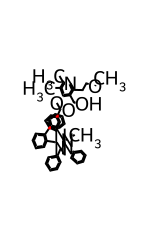 COCCc1nc(C)c(C)c(OCc2ccc(-c3ccccc3C3N(c4ccccc4)N(C)N(c4ccccc4)N3c3ccccc3)cc2)c1C(=O)O